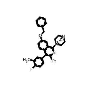 Cc1cc(-c2c(C(C)C)nc([N+]34CCN(CC3)CC4)c3cc(OCc4ccccc4)ccc23)ccc1F